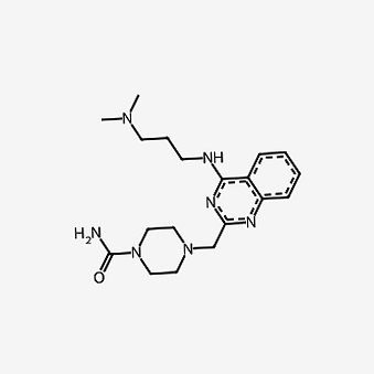 CN(C)CCCNc1nc(CN2CCN(C(N)=O)CC2)nc2ccccc12